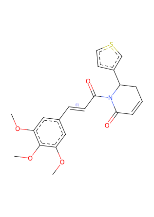 COc1cc(/C=C/C(=O)N2C(=O)C=CCC2c2ccsc2)cc(OC)c1OC